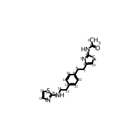 CC(=O)Nc1nc(CCc2ccc(CCNc3nccs3)cc2)cs1